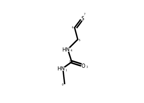 CNC(=O)NCC=S